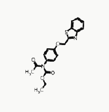 CCOC(=O)N(C(C)=O)c1ccc(OCc2nc3ccccc3s2)cc1